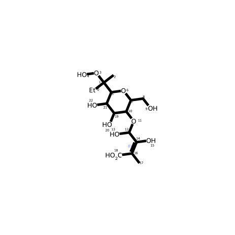 CCC(C)(OO)C1OC(CO)C(OC(O)/C(O)=C(/C)C(=O)O)C(O)C1O